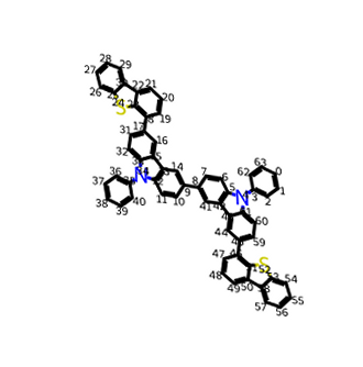 c1ccc(-n2c3ccc(-c4ccc5c(c4)c4cc(-c6cccc7c6sc6ccccc67)ccc4n5-c4ccccc4)cc3c3cc(-c4cccc5c4sc4ccccc45)ccc32)cc1